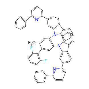 Fc1cccc(F)c1-c1cc(-n2c3ccccc3c3ccc(-c4cccc(-c5ccccc5)n4)cc32)c(-n2c3ccccc3c3ccc(-c4cccc(-c5ccccc5)n4)cc32)cc1C(F)(F)F